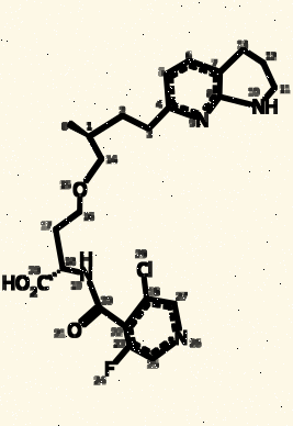 C[C@@H](CCc1ccc2c(n1)NCCC2)COCC[C@H](NC(=O)c1c(F)cncc1Cl)C(=O)O